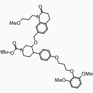 COCCCN1C(=O)CCc2ccc(COC3CN(C(=O)OC(C)(C)C)CCC3c3ccc(OCCCOc4c(OC)cccc4OC)cc3)cc21